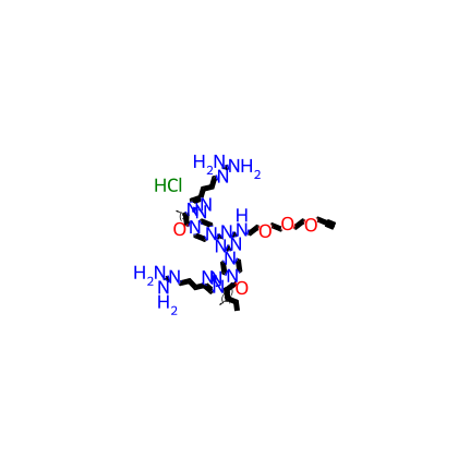 C#CCOCCOCCOCCNc1nc(N2CCN(C(=O)[C@H]([C@@H](C)CC)n3cc(CCCN=C(N)N)nn3)CC2)nc(N2CCN(C(=O)[C@H](C)n3cc(CCCN=C(N)N)nn3)CC2)n1.Cl